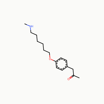 CNCCCCCCOc1ccc(CC(C)=O)cc1